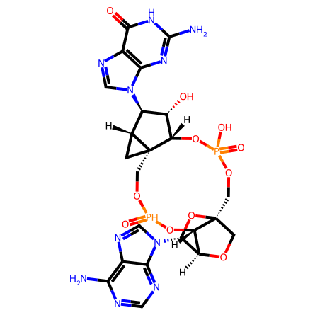 Nc1nc2c(ncn2[C@H]2[C@H](O)[C@@H]3OP(=O)(O)OC[C@@]45CO[C@@H]([C@H](n6cnc7c(N)ncnc76)O4)[C@@H]5O[PH](=O)OC[C@@]34C[C@H]24)c(=O)[nH]1